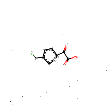 O=C(O)C(=O)c1ccc(CF)cc1